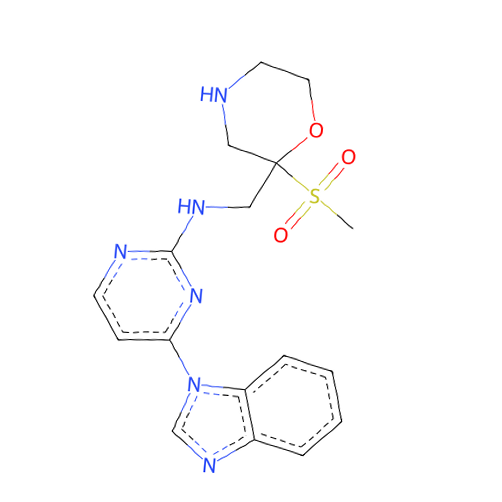 CS(=O)(=O)C1(CNc2nccc(-n3cnc4ccccc43)n2)CNCCO1